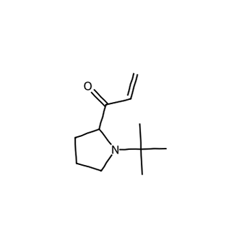 C=CC(=O)C1CCCN1C(C)(C)C